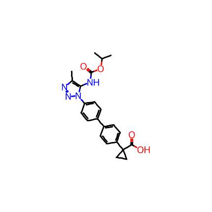 Cc1nnn(-c2ccc(-c3ccc(C4(C(=O)O)CC4)cc3)cc2)c1NC(=O)OC(C)C